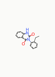 CCc1ccccc1-n1c(=O)[nH]c2ccccc2c1=O